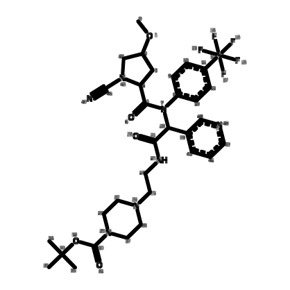 COC1CC(C(=O)N(c2ccc(S(F)(F)(F)(F)F)cc2)C(C(=O)NCCN2CCN(C(=O)OC(C)(C)C)CC2)c2cccnc2)N(C#N)C1